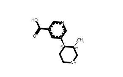 C[C@@H]1CNCC[C@H]1c1cncc(C(=O)O)c1